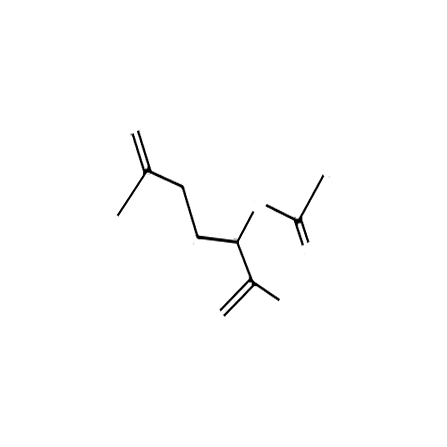 C=C(C)CCC(OC(C)=O)C(=C)C